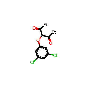 CCC(=O)C(Oc1cc(Cl)cc(Cl)c1)C(=O)CC